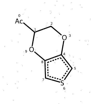 CC(=O)C1COc2cscc2O1